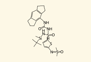 CC(C)(C)[Si](C)(C)N[SH](=O)(NC(=O)Nc1c2c(cc3c1CCC3)CCC2)c1ccc(N=S(C)(C)=O)s1